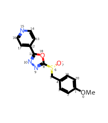 COc1ccc(C[S+]([O-])c2nnc(-c3ccncc3)o2)cc1